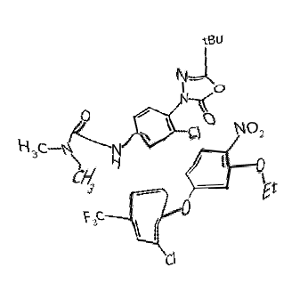 CCOc1cc(Oc2ccc(C(F)(F)F)cc2Cl)ccc1[N+](=O)[O-].CN(C)C(=O)Nc1ccc(-n2nc(C(C)(C)C)oc2=O)c(Cl)c1